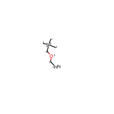 CCCCO[CH][Si](C)(C)C